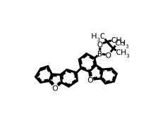 CC1(C)OB(c2ccc(-c3ccc4oc5ccccc5c4c3)c3oc4ccccc4c23)OC1(C)C